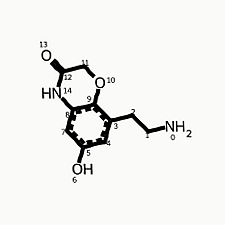 NCCc1cc(O)cc2c1OCC(=O)N2